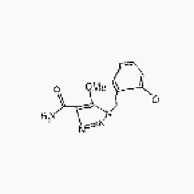 COc1c(C(N)=O)nnn1Cc1ccccc1Cl